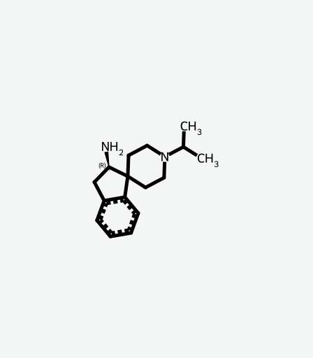 CC(C)N1CCC2(CC1)c1ccccc1C[C@H]2N